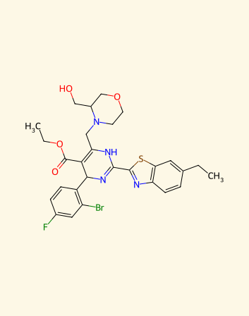 CCOC(=O)C1=C(CN2CCOCC2CO)NC(c2nc3ccc(CC)cc3s2)=NC1c1ccc(F)cc1Br